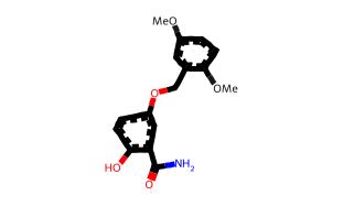 COc1ccc(OC)c(COc2ccc(O)c(C(N)=O)c2)c1